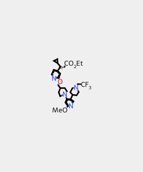 CCOC(=O)C[C@H](c1ccnc(OCC2CCN(c3cc(OC)ncc3C3CCN(CC(F)(F)F)CC3)CC2)c1)C1CC1